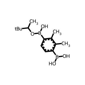 Cc1c(B(O)O)ccc(B(O)OC(C)C(C)(C)C)c1C